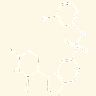 O=C1CCC(c2coc3ccc(S(=O)(=O)Nc4cccc(Cl)c4)cc23)C(=O)N1